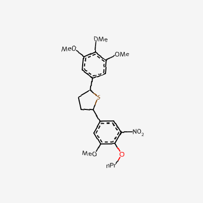 CCCOc1c(OC)cc(C2CCC(c3cc(OC)c(OC)c(OC)c3)S2)cc1[N+](=O)[O-]